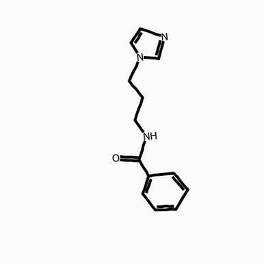 O=C(NCCCn1ccnc1)c1ccccc1